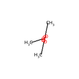 CCCCCCCCCCCCCCCC(=O)OCC(COC(=O)CCCCCCCCCCCCCCC)OC(=O)CCCCCCCCCCCCC